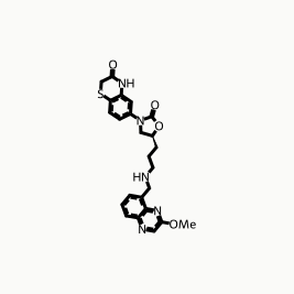 COc1cnc2cccc(CNCCC[C@H]3CN(c4ccc5c(c4)NC(=O)CS5)C(=O)O3)c2n1